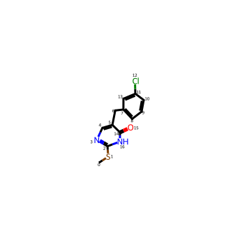 CSc1ncc(Cc2cccc(Cl)c2)c(=O)[nH]1